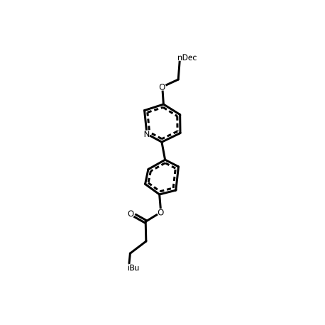 CCCCCCCCCCCOc1ccc(-c2ccc(OC(=O)CCC(C)CC)cc2)nc1